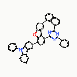 c1ccc(-c2ccc3oc4c(-c5ccc6c(c5)c5ccccc5n6-c5ccccc5)ccc(-c5nc(-c6ccccc6)nc(-c6ccccc6)n5)c4c3c2)cc1